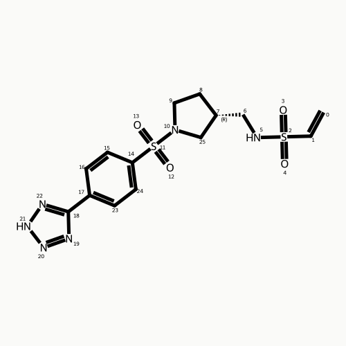 C=CS(=O)(=O)NC[C@H]1CCN(S(=O)(=O)c2ccc(-c3nn[nH]n3)cc2)C1